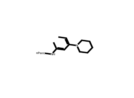 C/C=C(\C=C(/C)NCCCCC)N1CCCCC1